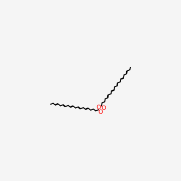 CCC=CCC=CCC=CCC=CCC=CCCCC(=O)OC(=O)CCCC=CCC=CCC=CCC=CCC=CCC